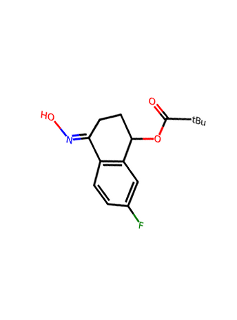 CC(C)(C)C(=O)OC1CCC(=NO)c2ccc(F)cc21